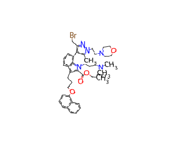 CCOC(=O)c1c(CCCOc2cccc3ccccc23)c2cccc(-c3c(CBr)nn(CCN4CCOCC4)c3C)c2n1CCCN(C)C